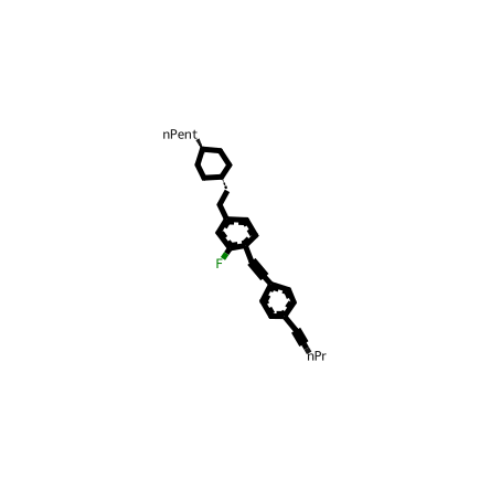 CCCC#Cc1ccc(C#Cc2ccc(CC[C@H]3CC[C@H](CCCCC)CC3)cc2F)cc1